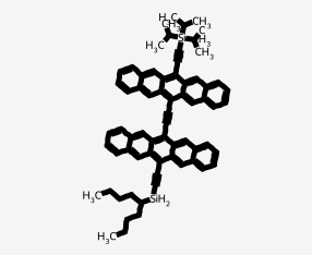 CCCCC(CCCC)[SiH2]C#Cc1c2cc3ccccc3cc2c(C#Cc2c3cc4ccccc4cc3c(C#C[Si](C(C)C)(C(C)C)C(C)C)c3cc4ccccc4cc23)c2cc3ccccc3cc12